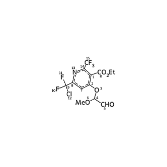 CCOC(=O)c1c(OC(C=O)OC)cc(C(F)(F)Cl)nc1C(F)(F)F